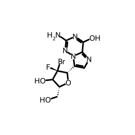 Nc1nc(O)c2ncc([C@@H]3O[C@H](CO)C(O)[C@]3(F)Br)n2n1